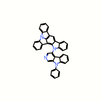 c1ccc(-n2c3ccccc3c3c(-n4c5ccccc5c5cc6c7ccccc7n7c8ccccc8c(c54)c67)cncc32)cc1